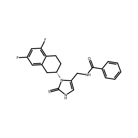 O=C(NCc1c[nH]c(=S)n1[C@H]1CCc2c(F)cc(F)cc2C1)c1ccccc1